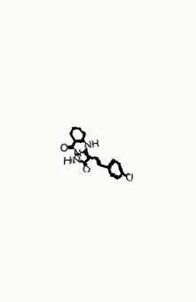 O=c1[nH]n2c(=O)c3c([nH]c2c1C=Cc1ccc(Cl)cc1)CCCC3